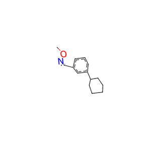 CO/N=[C]\c1cccc(C2CCCCC2)c1